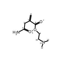 C=C(CC(N)=O)C(=O)OCCN(C)C